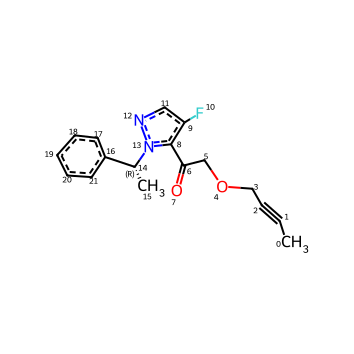 CC#CCOCC(=O)c1c(F)cnn1[C@H](C)c1ccccc1